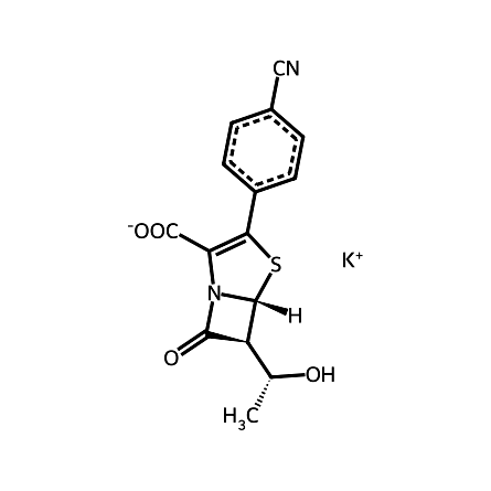 C[C@@H](O)[C@H]1C(=O)N2C(C(=O)[O-])=C(c3ccc(C#N)cc3)S[C@H]12.[K+]